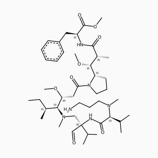 CC[C@H](C)[C@@H]([C@@H](CC(=O)N1CCC[C@H]1[C@H](OC)[C@@H](C)C(=O)N[C@@H](Cc1ccccc1)C(=O)OC)OC)N(C)C[C@](C=O)(NC(=O)[C@H](C(C)C)N(C)CCCN)C(C)C